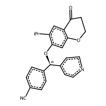 CC(C)c1cc2c(cc1O[C@@H](c1ccncc1)c1ccc(C#N)cc1)OCCC2=O